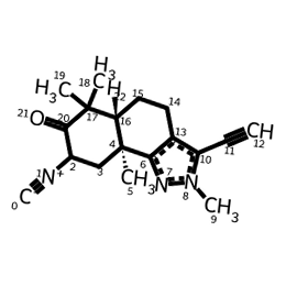 [C-]#[N+]C1C[C@]2(C)c3nn(C)c(C#C)c3CC[C@H]2C(C)(C)C1=O